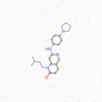 CC(C)CCn1c(=O)ccc2cnc(Nc3ccc(N4CCCC4)cc3)cc21